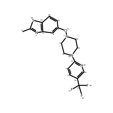 Cc1nc2cc(ON3C[CH]N(c4ccc(C(F)(F)F)cn4)CC3)ccc2s1